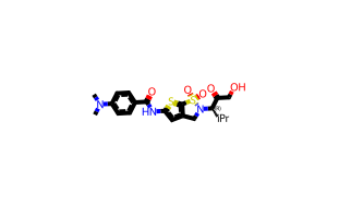 CC(C)[C@H](C(=O)CO)N1Cc2cc(NC(=O)c3ccc(N(C)C)cc3)sc2S1(=O)=O